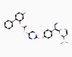 CN(C)C1=N/C(=C(/C=N)c2ccc(Oc3ncc(NC(=O)Nc4cc(C(F)(F)F)ccc4-c4ccccc4)cn3)cc2)NC=C1